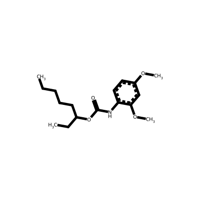 CCCCCC(CC)OC(=O)Nc1ccc(OC)cc1OC